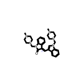 CN1CCN(CN2C(=O)/C(=C/c3cn(CN4CCN(C)CC4)c4ccccc34)c3ccccc32)CC1